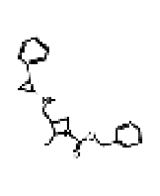 O=C(OCc1ccccc1)N1CC(CN[C@@H]2C[C@H]2c2ccccc2)C1F